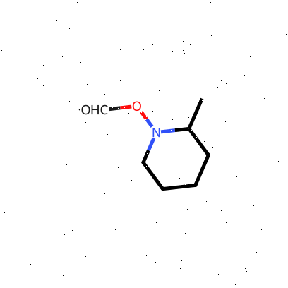 CC1CCCCN1O[C]=O